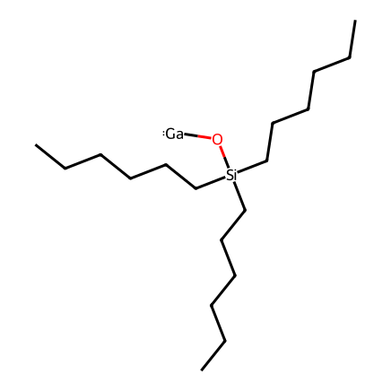 CCCCCC[Si](CCCCCC)(CCCCCC)[O][Ga]